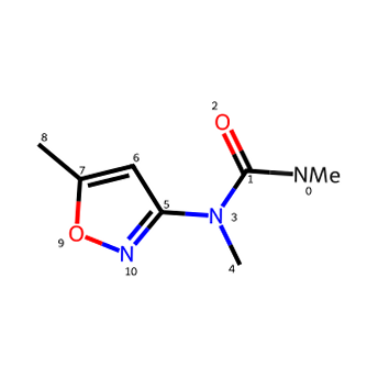 CNC(=O)N(C)c1cc(C)on1